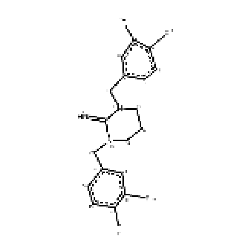 N=C1N(Cc2ccc(F)c(F)c2)CCCN1Cc1ccc(F)c(F)c1